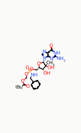 CC(C)(C)C(=O)OCOP(=O)(NCc1ccccc1)OC[C@H]1O[C@@H](n2cnc3c(=O)[nH]c(N)nc32)[C@](C)(O)[C@@H]1O